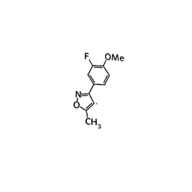 COc1ccc(-c2[c]c(C)on2)cc1F